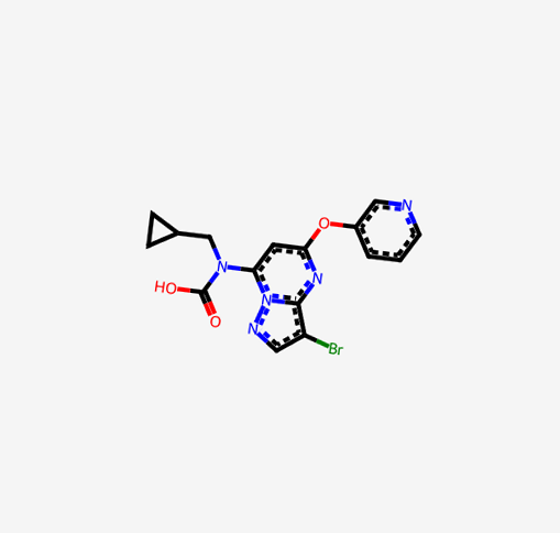 O=C(O)N(CC1CC1)c1cc(Oc2cccnc2)nc2c(Br)cnn12